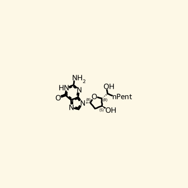 CCCCCC(O)[C@H]1O[C@@H](n2cnc3c(=O)[nH]c(N)nc32)C[C@@H]1O